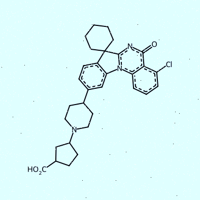 O=C(O)C1CCC(N2CCC(c3ccc4c(c3)-n3c(nc(=O)c5c(Cl)cccc53)C43CCCCC3)CC2)C1